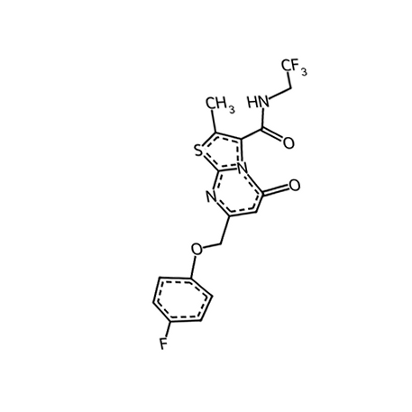 Cc1sc2nc(COc3ccc(F)cc3)cc(=O)n2c1C(=O)NCC(F)(F)F